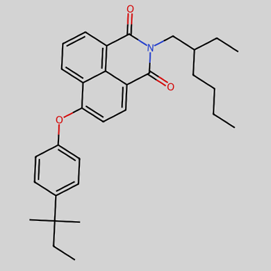 CCCCC(CC)CN1C(=O)c2cccc3c(Oc4ccc(C(C)(C)CC)cc4)ccc(c23)C1=O